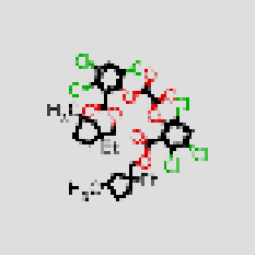 CCC1(COC(=O)c2c(Cl)c(Cl)cc(Cl)c2OC(=O)C(=O)Oc2c(Cl)cc(Cl)c(Cl)c2C(=O)OCC2(CC)CCC(C)C2)CCC(C)C1